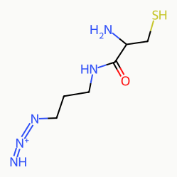 N=[N+]=NCCCNC(=O)C(N)CS